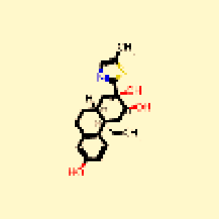 CC[C@@]12C[C@H](O)[C@@](O)(c3ncc(C)s3)C[C@H]1CCc1cc(O)ccc12